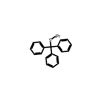 CC(C)SC(c1ccccc1)(c1ccccc1)c1ccccc1